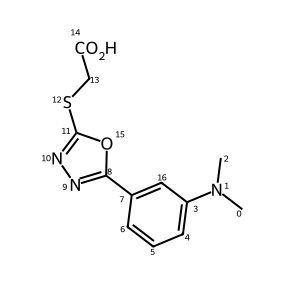 CN(C)c1cccc(-c2nnc(SCC(=O)O)o2)c1